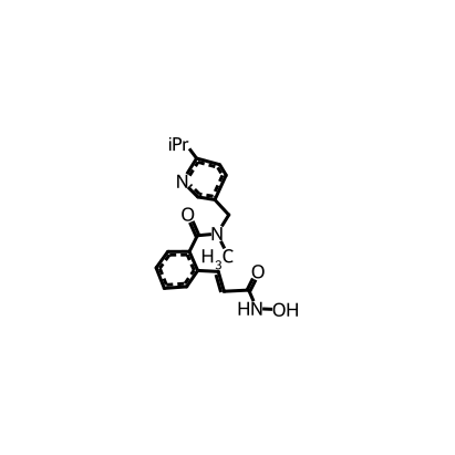 CC(C)c1ccc(CN(C)C(=O)c2ccccc2/C=C/C(=O)NO)cn1